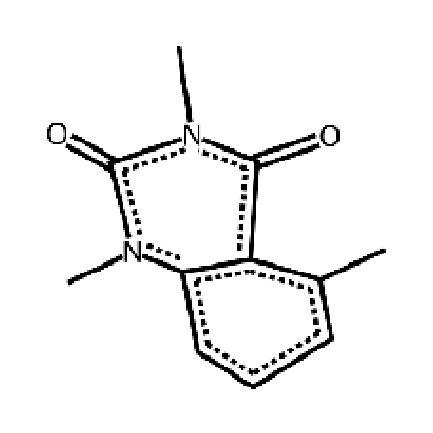 Cc1cccc2c1c(=O)n(C)c(=O)n2C